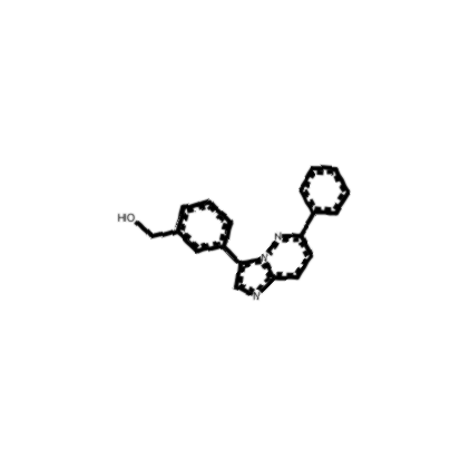 OCc1cccc(-c2cnc3ccc(-c4ccccc4)nn23)c1